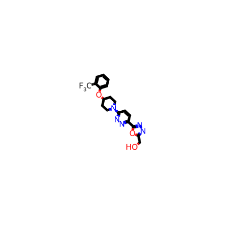 OCc1nnc(-c2ccc(N3CCC(Oc4ccccc4C(F)(F)F)CC3)nn2)o1